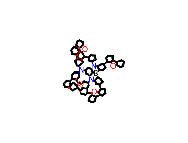 C\C=C/C=C(\C=C1/c2oc3ccccc3c2C=CC1C)N1c2cc(-c3cccc4c3oc3ccccc34)ccc2B2c3ccc(-c4cccc5c4oc4ccccc45)cc3N(c3cccc(-c4cccc5c4oc4ccccc45)c3)c3cc(N(c4ccc(-c5ccccc5)cc4)c4ccc(-c5ccccc5)cc4)cc1c32